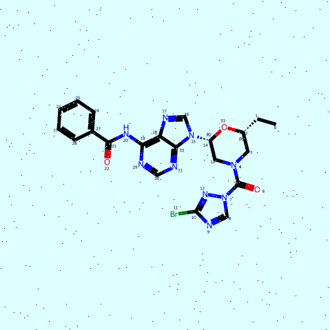 CC[C@@H]1CN(C(=O)n2cnc(Br)n2)C[C@H](n2cnc3c(NC(=O)c4ccccc4)ncnc32)O1